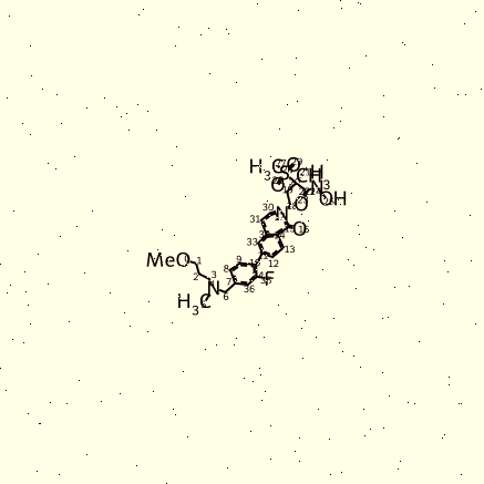 COCCCN(C)Cc1ccc(-c2ccc3c(=O)n(CC[C@](C)(C(=O)NO)S(C)(=O)=O)ccc3c2)c(F)c1